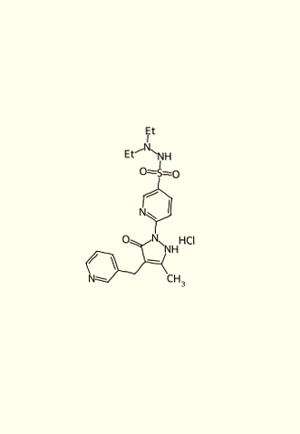 CCN(CC)NS(=O)(=O)c1ccc(-n2[nH]c(C)c(Cc3cccnc3)c2=O)nc1.Cl